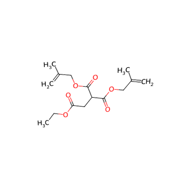 C=C(C)COC(=O)C(CC(=O)OCC)C(=O)OCC(=C)C